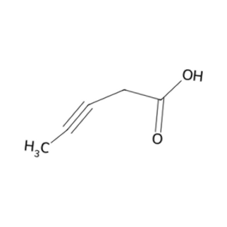 CC#CCC(=O)O